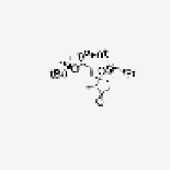 C=C1C(=O)CC[C@@]1(/C=C/[C@H](CCCCC)O[Si](C)(C)C(C)(C)C)O[Si](C)(C)CC(C)C